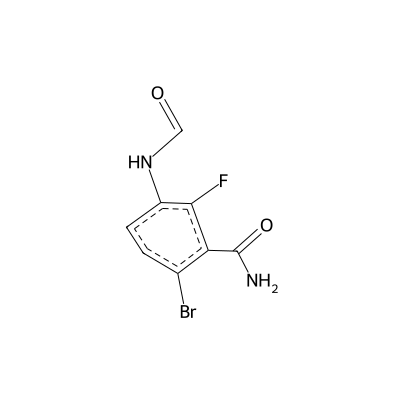 NC(=O)c1c(Br)ccc(NC=O)c1F